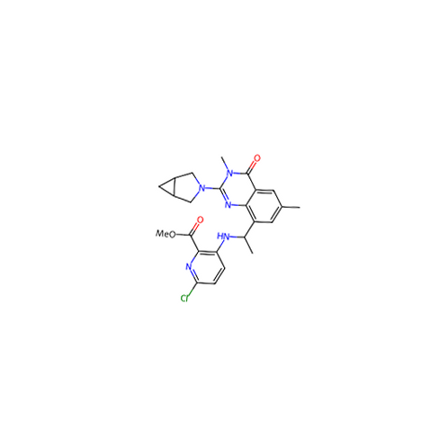 COC(=O)c1nc(Cl)ccc1NC(C)c1cc(C)cc2c(=O)n(C)c(N3CC4CC4C3)nc12